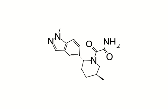 C[C@H]1CC[C@H](c2ccc3c(cnn3C)c2)N(C(=O)C(N)=O)C1